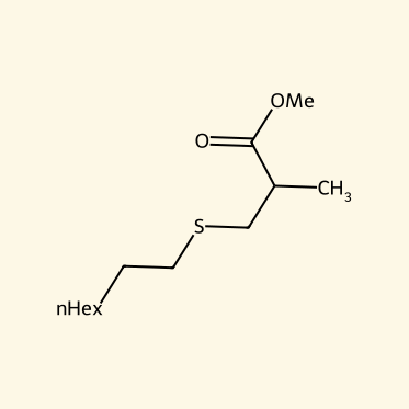 CCCCCCCCSCC(C)C(=O)OC